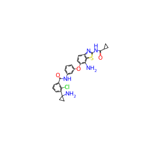 Nc1c(Oc2cccc(NC(=O)c3cccc(C4(N)CC4)c3Cl)c2)ccc2nc(NC(=O)C3CC3)sc12